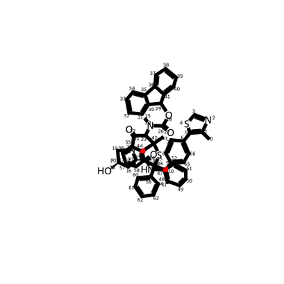 Cc1ncsc1-c1ccc(C(C)NC(=O)[C@H]2C[C@@H](O)CN2C(=O)C(N(C)C(=O)OC2c3ccccc3-c3ccccc32)C(C)(C)SC(c2ccccc2)(c2ccccc2)c2ccccc2)cc1